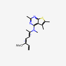 C=C/C(=C\C=C(/C)N(C)c1nc(C)nc2sc(C)c(C)c12)OC